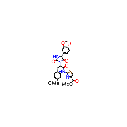 COC(=O)c1csc(NC(=O)C(Cc2ccc(OC)cc2)N2C(=O)NC(c3ccc4c(c3)OCO4)C2=O)n1